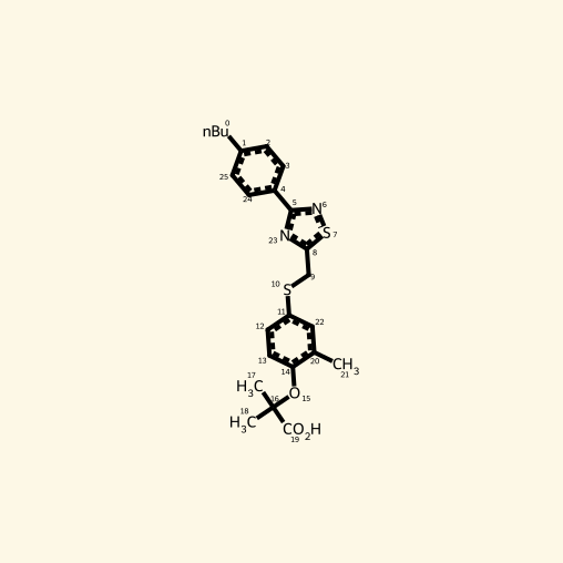 CCCCc1ccc(-c2nsc(CSc3ccc(OC(C)(C)C(=O)O)c(C)c3)n2)cc1